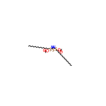 CCCCCCCCCCCCCCC(CSc1nnc(SCC(CCCCCCCCCCCCCC)OC(C)=O)s1)OC(C)=O